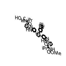 COC(=O)N[C@H](C(=O)N1CCC[C@H]1c1nc2ccc([C@H]3CC[C@H](c4ccc5nc([C@@H]6CCCN6C(=O)[C@@H](NC(=O)O)C(C)C)[nH]c5c4)N3c3ccc(S(F)(F)(F)(F)F)cc3)cc2[nH]1)C(C)C